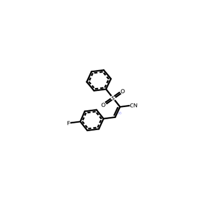 N#C/C(=C/c1ccc(F)cc1)S(=O)(=O)c1ccccc1